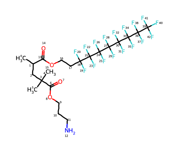 CC(CC(C)(C)C(=O)OCCCN)C(=O)OCCC(F)(F)C(F)(F)C(F)(F)C(F)(F)C(F)(F)C(F)(F)C(F)(F)C(F)(F)F